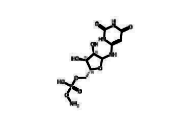 NOP(=O)(O)OC[C@H]1OC(Nc2cc(=O)[nH]c(=O)[nH]2)[C@H](O)[C@@H]1O